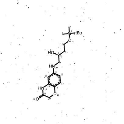 CC(C)(C)[Si](C)(C)OCC[C@H](O)CNc1ccc2c(c1)NC(=O)CO2